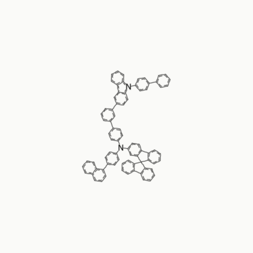 c1ccc(-c2ccc(-n3c4ccccc4c4cc(-c5cccc(-c6ccc(N(c7ccc(-c8cccc9ccccc89)cc7)c7ccc8c(c7)C7(c9ccccc9-c9ccccc97)c7ccccc7-8)cc6)c5)ccc43)cc2)cc1